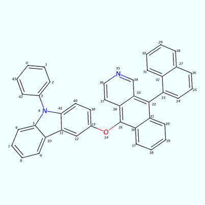 c1ccc(-n2c3ccccc3c3cc(Oc4c5ccccc5c(-c5cccc6ccccc56)c5cnccc45)ccc32)cc1